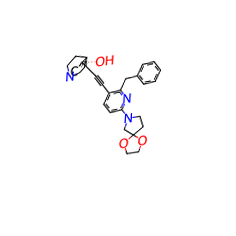 O[C@]1(C#Cc2ccc(N3CCC4(C3)OCCO4)nc2Cc2ccccc2)CN2CCC1CC2